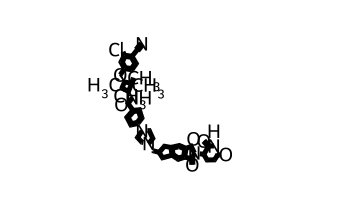 CC1(C)[C@H](NC(=O)c2ccc(N3CCN(CC4Cc5cc6c(cc5C4)C(=O)N(C4CCC(=O)NC4=O)C6=O)CC3)cc2)C(C)(C)[C@H]1Oc1ccc(C#N)c(Cl)c1